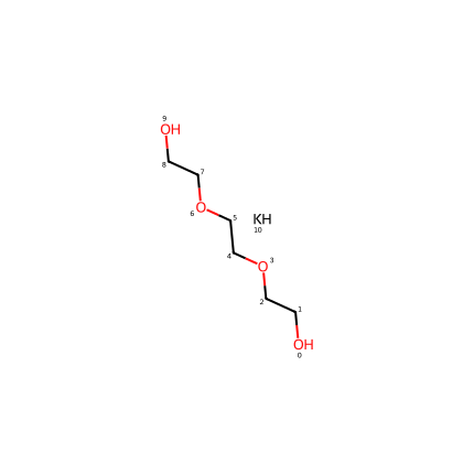 OCCOCCOCCO.[KH]